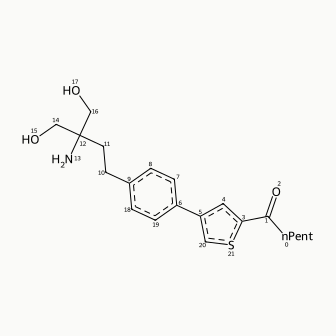 CCCCCC(=O)c1cc(-c2ccc(CCC(N)(CO)CO)cc2)cs1